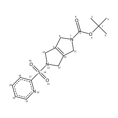 CC(C)(C)OC(=O)N1CC2=C(C1)CN(S(=O)(=O)c1ccccn1)C2